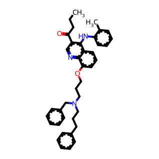 CCCC(=O)c1cnc2c(OCCCN(CCCc3ccccc3)Cc3ccccc3)cccc2c1Nc1ccccc1C